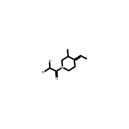 CC=C1CCN(C(=O)C(CC)CC)CC1C